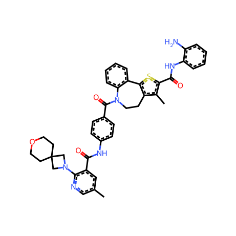 Cc1cnc(N2CC3(CCOCC3)C2)c(C(=O)Nc2ccc(C(=O)N3CCc4c(sc(C(=O)Nc5ccccc5N)c4C)-c4ccccc43)cc2)c1